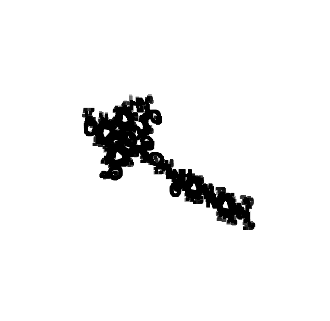 CNC(=O)CCC(=O)OC(COCCCNC(=O)c1ccc(/N=N/c2ccc(N(C)C)cc2)cc1)COC(c1ccccc1)(c1ccc(OC)cc1)c1ccc(OC)cc1